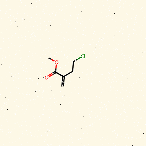 C=C(CCCl)C(=O)OC